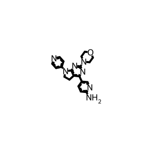 Nc1ccc(-c2nc(N3CCOCC3)nc3c2CCN3c2ccncc2)cn1